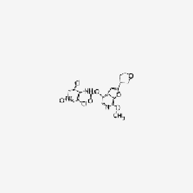 COc1ncc(OC(=O)Nc2c(Cl)c[n+]([O-])cc2Cl)c2cc(C3CCOC3)oc12